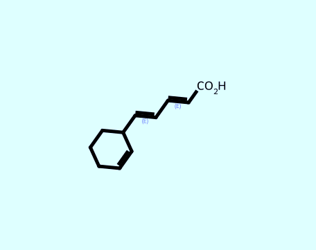 O=C(O)/C=C/C=C/C1C=CCCC1